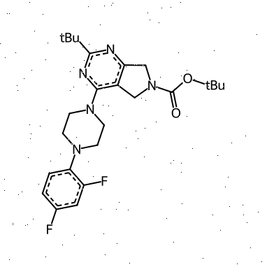 CC(C)(C)OC(=O)N1Cc2nc(C(C)(C)C)nc(N3CCN(c4ccc(F)cc4F)CC3)c2C1